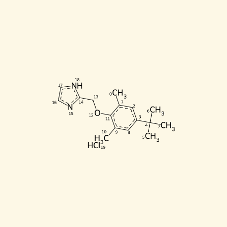 Cc1cc(C(C)(C)C)cc(C)c1OCc1ncc[nH]1.Cl